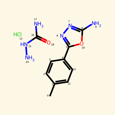 Cc1ccc(-c2nnc(N)o2)cc1.Cl.NNC(N)=O